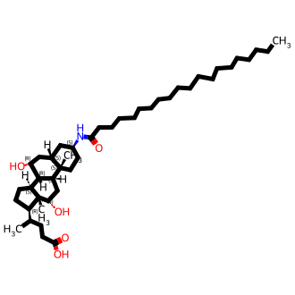 CCCCCCCCCCCCCCCCCCCC(=O)N[C@H]1CC[C@@]2(C)[C@@H](C1)C[C@@H](O)[C@@H]1[C@@H]2C[C@H](O)[C@]2(C)[C@@H](C(C)CCC(=O)O)CC[C@@H]12